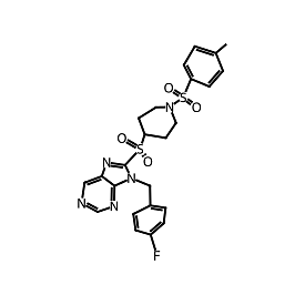 Cc1ccc(S(=O)(=O)N2CCC(S(=O)(=O)c3nc4cncnc4n3Cc3ccc(F)cc3)CC2)cc1